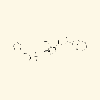 CC(C)Sc1c(OCC(C)(C)C(=O)NC[C@@H]2CCCN2)noc1C(=O)NC(C)C1CC2CCCC(C2)C1